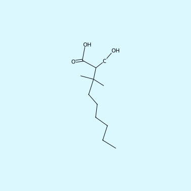 CCCCCCC(C)(C)C(CO)C(=O)O